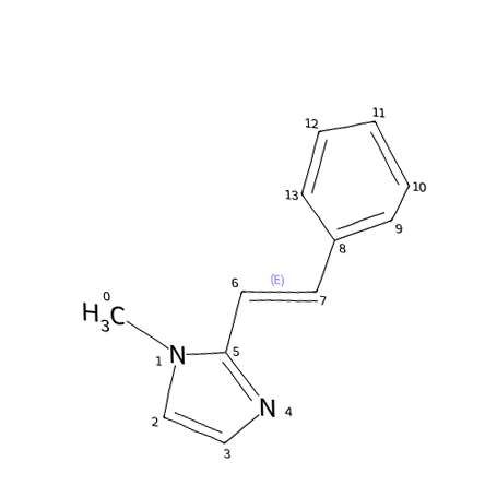 Cn1ccnc1/C=C/c1ccccc1